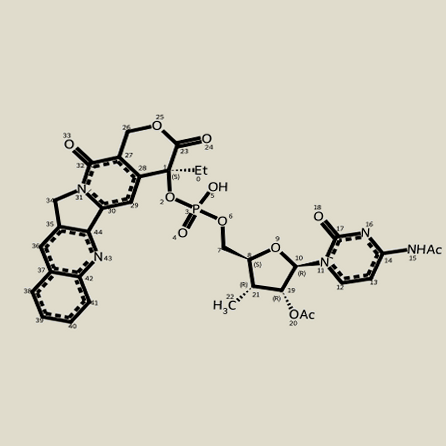 CC[C@@]1(OP(=O)(O)OC[C@H]2O[C@@H](n3ccc(NC(C)=O)nc3=O)[C@H](OC(C)=O)[C@@H]2C)C(=O)OCc2c1cc1n(c2=O)Cc2cc3ccccc3nc2-1